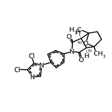 CC12CCC(C)(O1)[C@H]1C(=O)N(c3ccc(-n4cnc(Cl)c4Cl)cc3)C(=O)[C@H]12